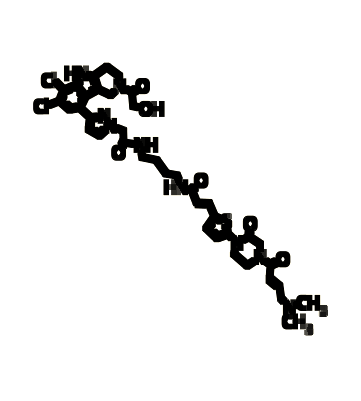 CN(C)CC=CC(=O)N1CCN(c2ccc(/C=C/C(=O)NCCCCNC(=O)Cn3ccc(-c4cc(Cl)c(Cl)c5[nH]c6c(c45)CN(C(=O)CO)CC6)n3)s2)C(=O)C1